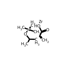 C=CC(=O)O.CC(C)O[N+](C)(C)C.[Zr]